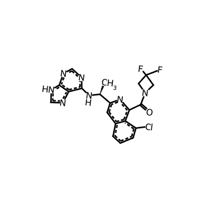 C[C@H](Nc1ncnc2[nH]cnc12)c1cc2cccc(Cl)c2c(C(=O)N2CC(F)(F)C2)n1